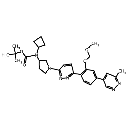 COCOc1cc(-c2cnnc(C)c2)ccc1-c1ccc(N2CC[C@@H](N(C(=O)OC(C)(C)C)C3CCC3)C2)nn1